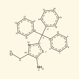 Nc1sc(C(c2ccccc2)(c2ccccc2)c2ccccc2)nc1CCl